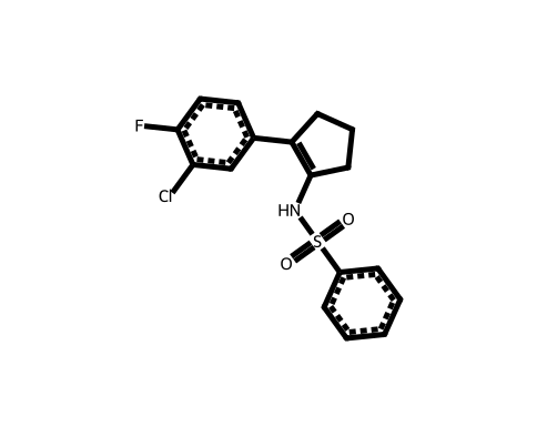 O=S(=O)(NC1=C(c2ccc(F)c(Cl)c2)CCC1)c1ccccc1